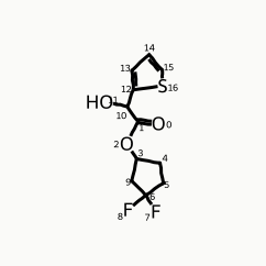 O=C(OC1CCC(F)(F)C1)C(O)c1cccs1